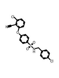 N#Cc1c(Cl)cccc1Oc1ccc(S(=O)(=O)NCc2ccc(Cl)cc2)cc1